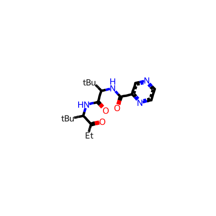 CCC(=O)C(NC(=O)C(NC(=O)c1cnccn1)C(C)(C)C)C(C)(C)C